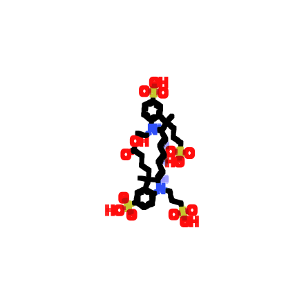 CC[N+]1=C(/C=C/C=C/C=C2/N(CCCS(=O)(=O)O)c3ccc(S(=O)(=O)O)cc3C2(C)CCCC(=O)O)C(C)(CCCS(=O)(=O)O)c2cc(S(=O)(=O)O)ccc21